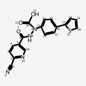 N#Cc1ccc(C(=O)NN(C(=O)O)c2ccc(-c3cccs3)cc2)cn1